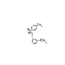 Cc1ccc(S(=O)(=O)SCc2cccc(C)c2)cc1